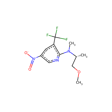 COC[C@@H](C)N(C)c1ncc([N+](=O)[O-])cc1C(F)(F)F